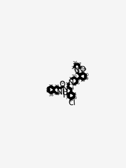 O=C(N/C(=C\c1ccc(Cl)cc1)CN1CCC(c2ccccc2CN2CCCC2=O)CC1)C1=Cc2ccccc2CN1